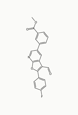 COC(=O)c1cccc(-c2cnc3oc(-c4ccc(F)cc4)c(C=O)c3c2)c1